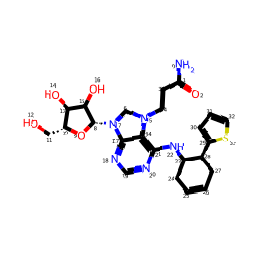 NC(=O)CCN1CN([C@@H]2O[C@H](CO)C(O)C2O)c2ncnc(NC3CC=CCC3c3cccs3)c21